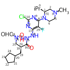 CC(C)[C@H]1CN(C)CCN1c1nc(Cl)nc(NNC(=O)[C@@H](CC2CCCC2)CN(O)C=O)c1F